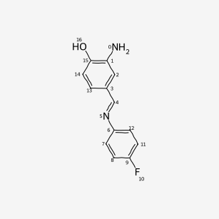 Nc1cc(/C=N/c2ccc(F)cc2)ccc1O